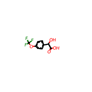 O=C(O)C(O)c1ccc(OC(F)(F)F)cc1